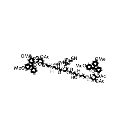 COc1ccc(C(OC[C@H]2O[C@@H](COCCCNC(=O)CNC(=O)OC(COC(=O)NCC(=O)NCCCO[C@H]3C[C@@H](OC(C)=O)[C@@H](OC(C)=O)[C@@H](COC(c4ccccc4)(c4ccc(OC)cc4)c4ccc(OC)cc4)O3)COP(OCCC#N)N(C(C)C)C(C)C)C[C@@H](OC(C)=O)[C@H]2OC(C)=O)(c2ccccc2)c2ccc(OC)cc2)cc1